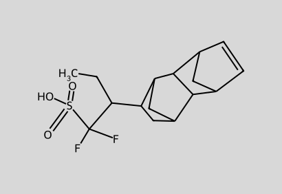 CCC(C1CC2CC1C1C3C=CC(C3)C21)C(F)(F)S(=O)(=O)O